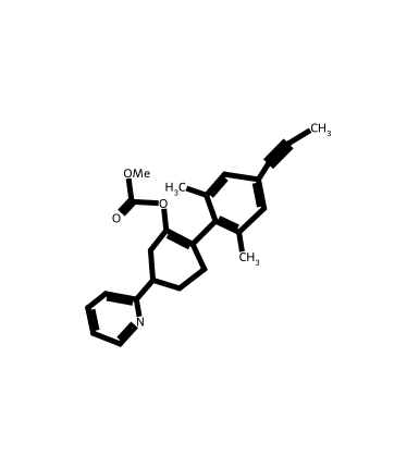 CC#Cc1cc(C)c(C2=C(OC(=O)OC)CC(c3ccccn3)CC2)c(C)c1